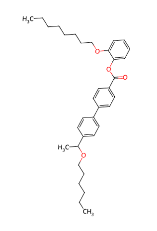 CCCCCCCCOc1ccccc1OC(=O)c1ccc(-c2ccc(C(C)OCCCCCC)cc2)cc1